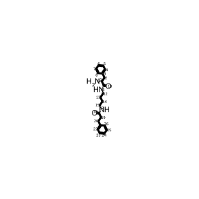 N[C@H](Cc1ccccc1)C(=O)NCCCCNC(=O)CCc1ccccc1